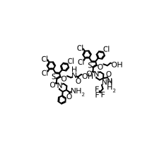 NC(=O)C1(NCCC(F)(F)F)CCN(C(=O)c2sc(-c3ccc(Cl)cc3Cl)c(-c3ccc(Cl)cc3)c2OCCCO)CC1.NC(=O)C1CCN(C(=O)c2sc(-c3ccc(Cl)cc3Cl)c(-c3ccc(Cl)cc3)c2OCCNC(=O)CO)CC1c1ccccc1